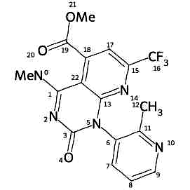 CNc1nc(=O)n(-c2cccnc2C)c2nc(C(F)(F)F)cc(C(=O)OC)c12